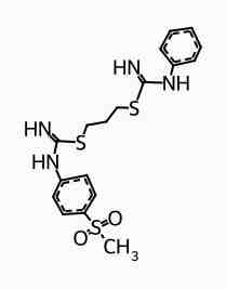 CS(=O)(=O)c1ccc(NC(=N)SCCCSC(=N)Nc2ccccc2)cc1